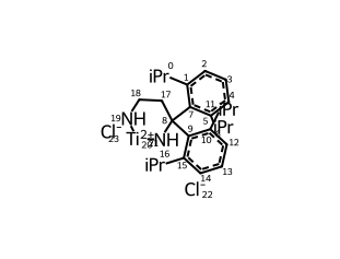 CC(C)c1cccc(C(C)C)c1C1(c2c(C(C)C)cccc2C(C)C)CC[NH][Ti+2][NH]1.[Cl-].[Cl-]